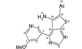 COc1cncc(-c2ncnc3sc(C(C)=O)c(N)c23)c1